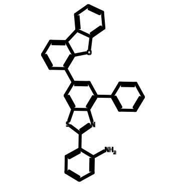 Nc1ccccc1-c1nc2c(-c3ccccc3)cc(-c3cccc4c3oc3ccccc34)cc2s1